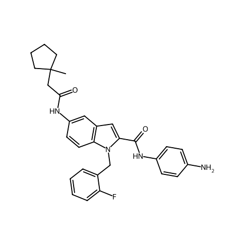 CC1(CC(=O)Nc2ccc3c(c2)cc(C(=O)Nc2ccc(N)cc2)n3Cc2ccccc2F)CCCC1